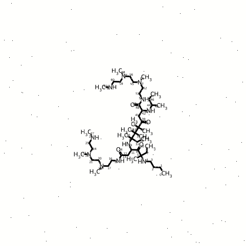 CCCCNC(C)(CC)C(=O)C(CC(=O)NCCN(C)CCN(C)CCNC)NC(C)(CC)C(C)(C)C(C)(C)C(=O)CC(NC(C)CC)C(=O)NCCN(C)CCN(C)CCNC